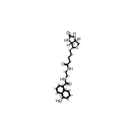 O=C(CCCC[C@@H]1SC[C@@H]2NC(=O)N[C@@H]21)NCCNC(=O)c1cccc2c(O)cccc12